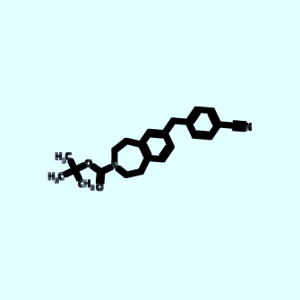 CC(C)(C)OC(=O)N1CCc2ccc(Cc3ccc(C#N)cc3)cc2CC1